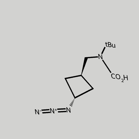 CC(C)(C)N(C[C@H]1C[C@H](N=[N+]=[N-])C1)C(=O)O